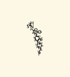 CC(=S)NCC1CN(c2ccc(N3CCN(CCF)CC3)c(F)c2)C(=O)O1